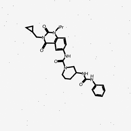 CC(C)n1c(=O)n(CC2CC2)c(=O)c2cc(NC(=O)N3CCCC(NC(=O)Nc4ccccc4)C3)ccc21